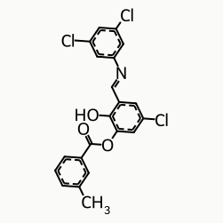 Cc1cccc(C(=O)Oc2cc(Cl)cc(C=Nc3cc(Cl)cc(Cl)c3)c2O)c1